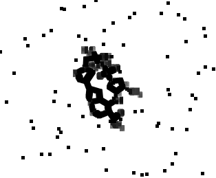 C[C@H]1CN(S(C)(=O)=O)C[C@H]1Nc1c(C(N)=O)cnn2cc(-c3cnn(CC(C)(C)O)c3)cc12